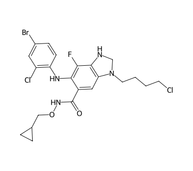 O=C(NOCC1CC1)c1cc2c(c(F)c1Nc1ccc(Br)cc1Cl)NCN2CCCCCl